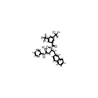 CN(C(=O)c1cc(C(F)(F)F)cc(C(F)(F)F)c1)C(CC(=O)Nc1cnccn1)Cc1ccc2ccccc2c1